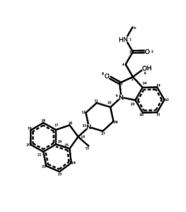 CNC(=O)CC1(O)C(=O)N(C2CCN(C3(C)Cc4cccc5cccc3c45)CC2)c2ccccc21